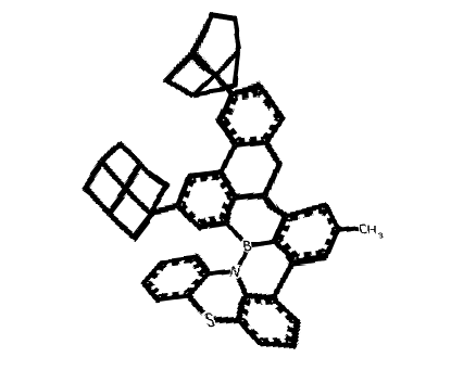 Cc1cc2c3c(c1)C1Cc4ccc(C56C7CCC5CC6C7)cc4-c4cc(C56CC7CC8CC(C5)C876)cc(c41)B3N1c3ccccc3Sc3cccc-2c31